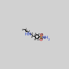 C/C=C/CNCCc1ccc(S(N)(=O)=O)cc1